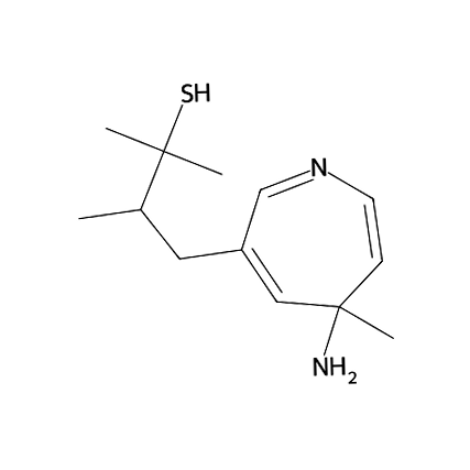 CC(CC1=CC(C)(N)C=CN=C1)C(C)(C)S